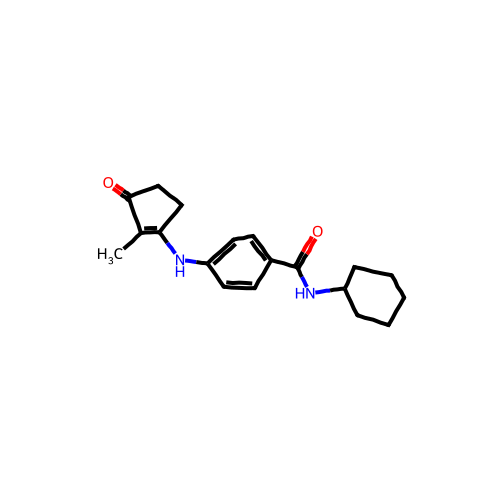 CC1=C(Nc2ccc(C(=O)NC3CCCCC3)cc2)CCC1=O